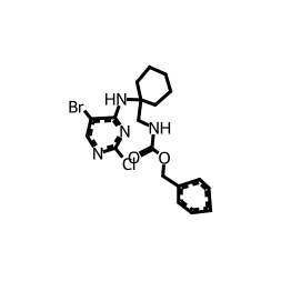 O=C(NCC1(Nc2nc(Cl)ncc2Br)CCCCC1)OCc1ccccc1